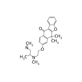 C=NCC(C)N(C)CCOc1ccc2c(c1)C(C)(C)c1oc3ccccc3c1C2=O